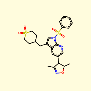 CC1=NOC(C)C1c1cnc2c(c1)c(CC1CCS(=O)(=O)CC1)cn2S(=O)(=O)c1ccccc1